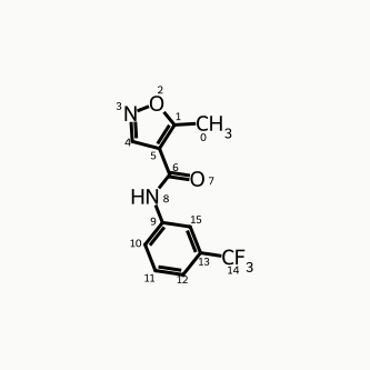 Cc1oncc1C(=O)Nc1cccc(C(F)(F)F)c1